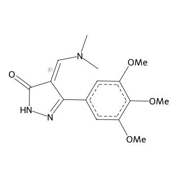 COc1cc(C2=NNC(=O)/C2=C/N(C)C)cc(OC)c1OC